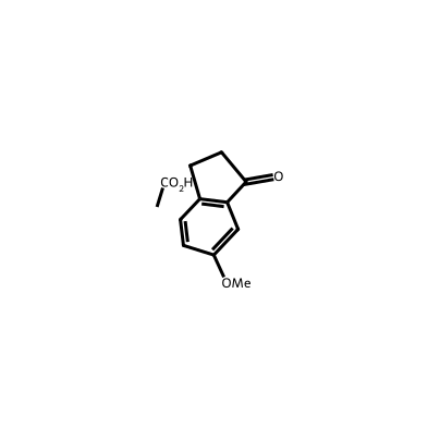 CC(=O)O.COc1ccc2c(c1)C(=O)CC2